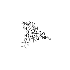 [2H]C([2H])([2H])C1(C([2H])([2H])C)O[C@H]2[C@@H]3OC(C)(C(C)C)O[C@]3(C)C(C)(C)O[C@@]2(C(C)(C)OS(N)(=O)=O)O1